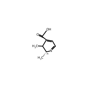 CC1C(C(=O)O)=CC=N[C@@H]1C